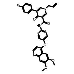 C=CCn1cc(C(=O)Nc2ncc(Oc3ccnc4cc(OC)c(OC)cc34)cn2)c(=O)c(-c2ccc(F)cc2)c1